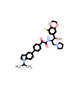 CC(C)n1ccc2cc(-c3ccc(C(=O)C(=O)NC(CN4CCCC4)C(O)c4cc(F)c5c(c4)OCCO5)cc3)ccc21